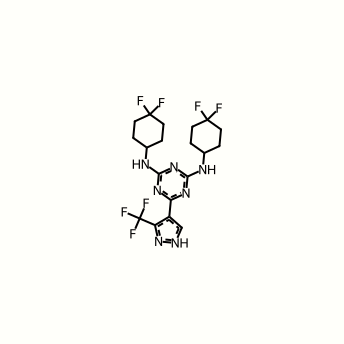 FC1(F)CCC(Nc2nc(NC3CCC(F)(F)CC3)nc(-c3c[nH]nc3C(F)(F)F)n2)CC1